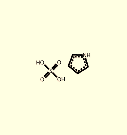 O=S(=O)(O)O.c1cc[nH]c1